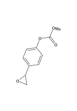 COC(=O)Oc1ccc(C2CO2)cc1